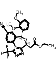 CCOC(=O)C[C@@H]1O[C@@H](c2cccc(OC)c2OC)c2cc(C#N)ccc2-n2c1nnc2C(F)(F)F